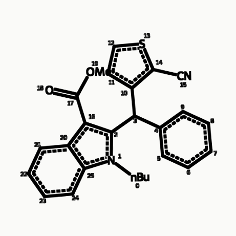 CCCCn1c(C(c2ccccc2)c2ccsc2C#N)c(C(=O)OC)c2ccccc21